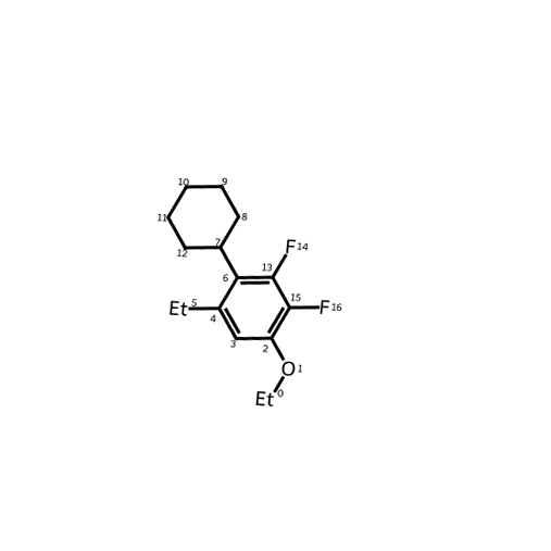 CCOc1cc(CC)c(C2CCCCC2)c(F)c1F